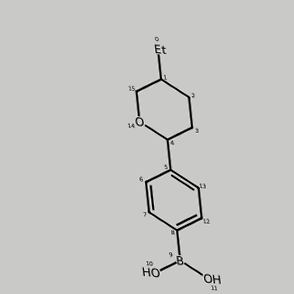 CCC1CCC(c2ccc(B(O)O)cc2)OC1